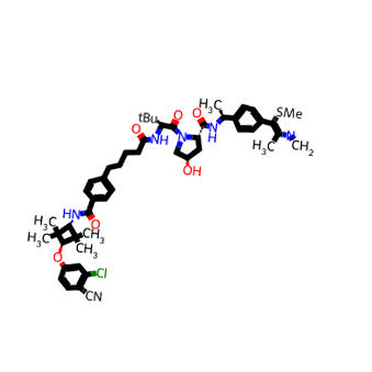 C=N/C(C)=C(\SC)c1ccc([C@H](C)NC(=O)[C@@H]2C[C@@H](O)CN2C(=O)[C@@H](NC(=O)CCCCc2ccc(C(=O)N[C@H]3C(C)(C)[C@H](Oc4ccc(C#N)c(Cl)c4)C3(C)C)cc2)C(C)(C)C)cc1